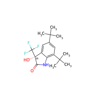 CC(C)(C)c1cc(C(C)(C)C)c2c(c1)[C@](O)(C(F)(F)F)C(=O)N2